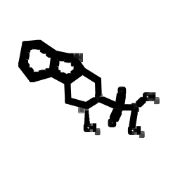 C[C@@H]1Cc2c([nH]c3ccccc23)CN1S(=O)(=O)N(C)C